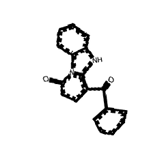 O=C(c1ccccc1)c1ccc(=O)n2c1[nH]c1ccccc12